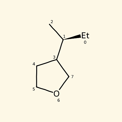 CC[C@H](C)C1CCOC1